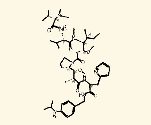 CC[C@H](C)[C@@H]([C@@H](CC(=O)N1CCC[C@H]1[C@H](OC)[C@@H](C)C(=O)N[C@@H](Cc1ccccn1)C(=O)NCc1ccc(NC(C)C)cc1)OC)N(C)C(=O)[C@@H](NC(=O)[C@H](C(C)C)N(C)C)C(C)C